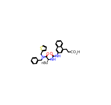 CCCC[C@H](NC(=O)Nc1cc(CCC(=O)O)c2ccccc2c1)C(=O)N(Cc1ccccc1)Cc1cccs1